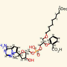 CCCCCCCCCCCCCCCCCCOC[C@H](COP(=O)(O)OC[C@H]1O[C@@](C#N)(c2ccc3c(N)ncnn23)C[C@@H]1O)Oc1ccccc1C(=O)O